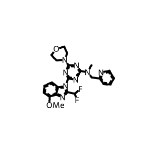 COc1cccc2c1nc(C(F)F)n2-c1nc(N(C)Cc2ccccn2)nc(N2CCOCC2)n1